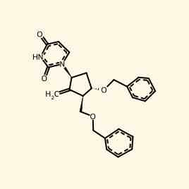 C=C1[C@H](COCc2ccccc2)[C@@H](OCc2ccccc2)C[C@@H]1n1ccc(=O)[nH]c1=O